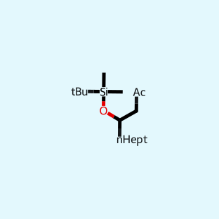 CCCCCCCC(CC(C)=O)O[Si](C)(C)C(C)(C)C